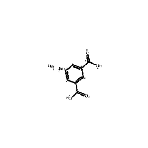 Br.Br.O=C(O)c1cccc(C(=O)O)c1